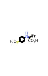 CC(C)C(Nc1ccc(SC(F)(F)F)cc1)C(=O)O